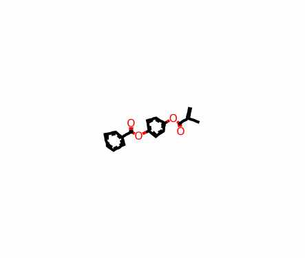 C=C(C)C(=O)Oc1ccc(OC(=O)c2ccccc2)cc1